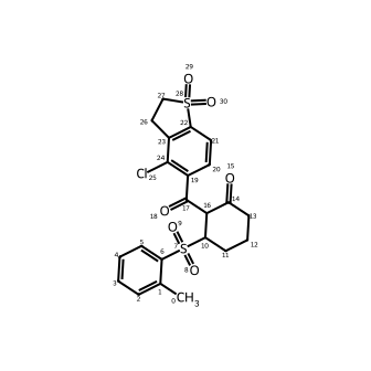 Cc1ccccc1S(=O)(=O)C1CCCC(=O)C1C(=O)c1ccc2c(c1Cl)CCS2(=O)=O